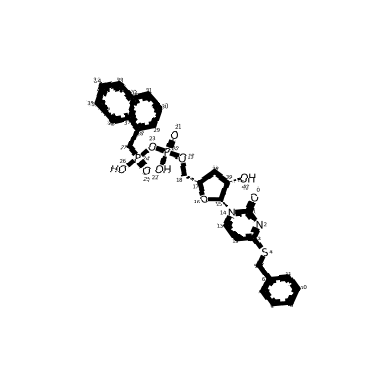 O=c1nc(SCc2ccccc2)ccn1[C@@H]1O[C@H](COP(=O)(O)OP(=O)(O)Cc2cccc3ccccc23)C[C@@H]1O